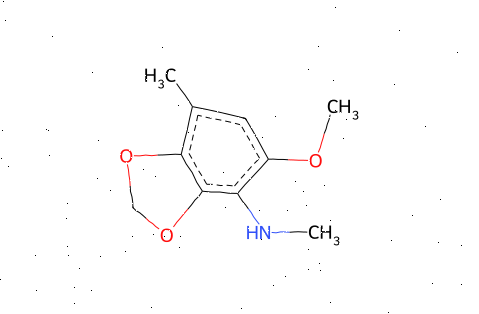 CNc1c(OC)cc(C)c2c1OCO2